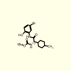 CC1CCC([C@H](NC(=O)OC(C)(C)C)C(=O)Nc2cc(Br)ccc2O)CC1